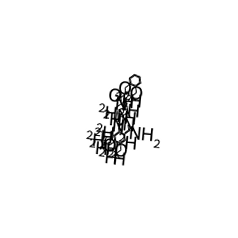 [2H]c1c(OC([2H])([2H])[2H])c(OC([2H])([2H])[2H])c([2H])c2c(N)nc(N3C([2H])([2H])CN(C(=O)C4Oc5ccccc5OC4([2H])[2H])CC3([2H])[2H])nc12